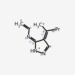 C=C/N=C1/NN=C/C1=C(/C)C(C)C